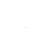 CCc1nccn1C.Cl.Cl.[AlH3]